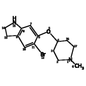 CN1CCC(Oc2cc3c(cc2Br)CCN3)CC1